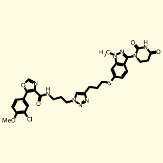 COc1ccc(-c2ocnc2C(=O)NCCCn2cc(CCCSc3ccc4c(N5CCC(=O)NC5=O)nn(C)c4c3)nn2)cc1Cl